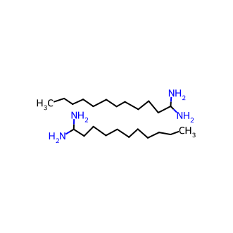 CCCCCCCCCCC(N)N.CCCCCCCCCCCC(N)N